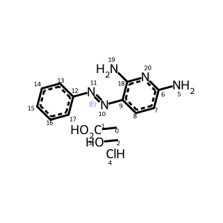 CC(=O)O.CO.Cl.Nc1ccc(/N=N/c2ccccc2)c(N)n1